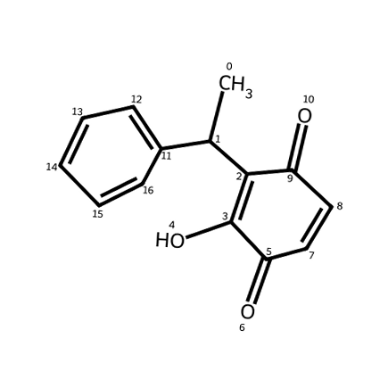 CC(C1=C(O)C(=O)C=CC1=O)c1ccccc1